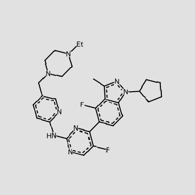 CCN1CCN(Cc2ccc(Nc3ncc(F)c(-c4ccc5c(c(C)nn5C5CCCC5)c4F)n3)nc2)CC1